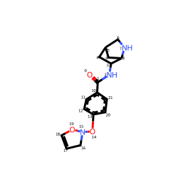 O=C(NC1CC2CNC1C2)c1ccc(ON2CC=CO2)cc1